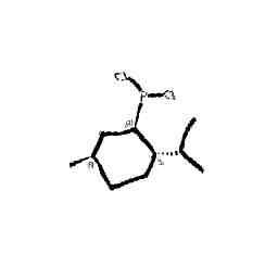 CC(C)[C@@H]1CC[C@@H](C)C[C@H]1P(Cl)Cl